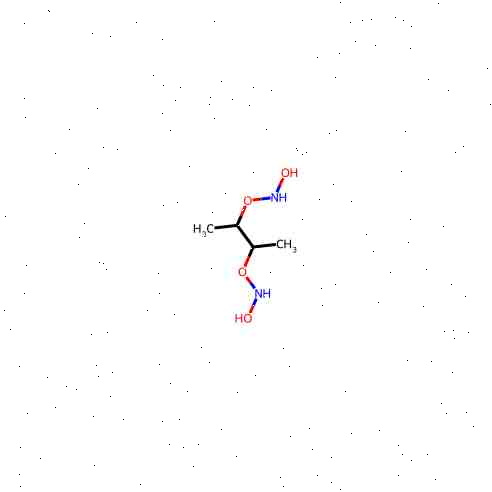 CC(ONO)C(C)ONO